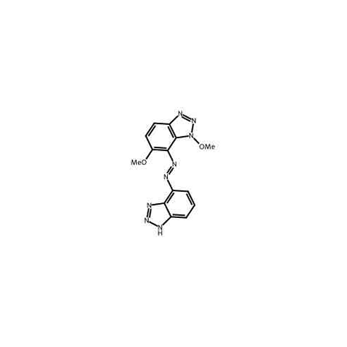 COc1ccc2nnn(OC)c2c1N=Nc1cccc2[nH]nnc12